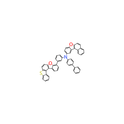 c1ccc(-c2ccc(N(c3cccc(-c4cccc5c4oc4ccc6sc7ccccc7c6c45)c3)c3ccc4oc5ccc6ccccc6c5c4c3)cc2)cc1